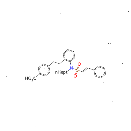 CCCCCCCN(c1ccccc1CCc1ccc(C(=O)O)cc1)S(=O)(=O)C=Cc1ccccc1